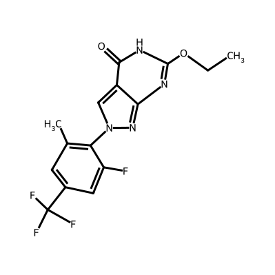 CCOc1nc2nn(-c3c(C)cc(C(F)(F)F)cc3F)cc2c(=O)[nH]1